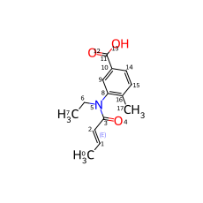 C/C=C/C(=O)N(CC)c1cc(C(=O)O)ccc1C